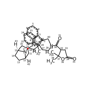 Cc1nc2ccccc2n1C1C[C@H]2CC[C@@H](C1)N2CCC1(c2ccccc2)CCN(C(=O)C2CC(=O)OC2(C)C)CC1